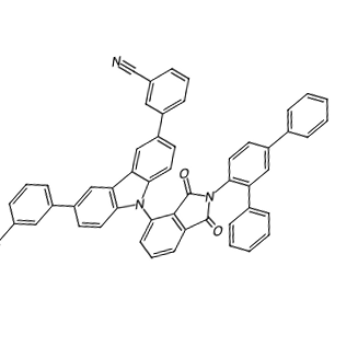 N#Cc1cccc(-c2ccc3c(c2)c2cc(-c4cccc(C#N)c4)ccc2n3-c2cccc3c2C(=O)N(c2ccc(-c4ccccc4)cc2-c2ccccc2)C3=O)c1